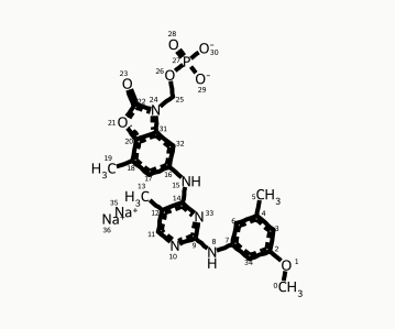 COc1cc(C)cc(Nc2ncc(C)c(Nc3cc(C)c4oc(=O)n(COP(=O)([O-])[O-])c4c3)n2)c1.[Na+].[Na+]